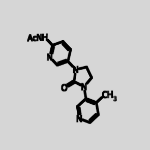 CC(=O)Nc1ccc(N2CCN(c3cnccc3C)C2=O)cn1